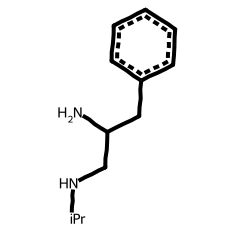 CC(C)NCC(N)Cc1ccccc1